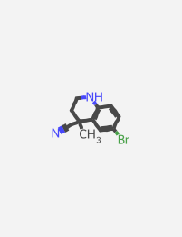 CC1(C#N)CCNc2ccc(Br)cc21